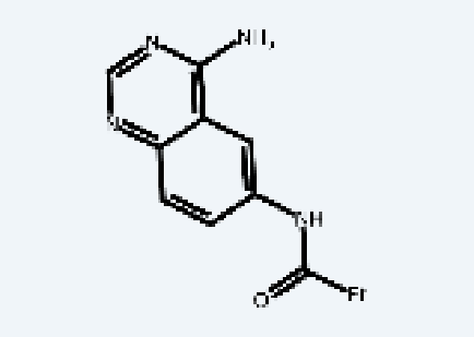 CCC(=O)Nc1ccc2ncnc(N)c2c1